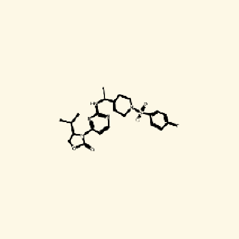 CC(C)C1COC(=O)N1c1ccnc(N[C@@H](C)C2CCN(S(=O)(=O)c3ccc(F)cc3)CC2)n1